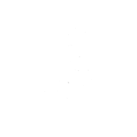 O=C1CC(=O)OC(CCCCC2CCCCC2)(C2CCCC2)C1